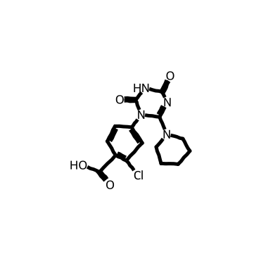 O=C(O)c1ccc(-n2c(N3CCCCC3)nc(=O)[nH]c2=O)cc1Cl